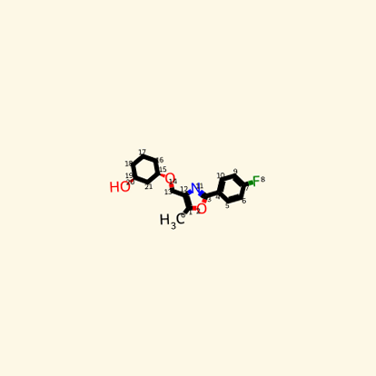 Cc1oc(-c2ccc(F)cc2)nc1CO[C@@H]1CCC[C@H](O)C1